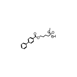 O=C(OCCCCP(=O)(OI)OI)c1ccc(-c2ccccc2)cc1